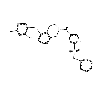 O=C(c1c[nH]c(S(=O)(=O)Cc2ccccn2)n1)N1CCc2c(cccc2Nc2ccc(C(F)(F)F)cc2F)C1